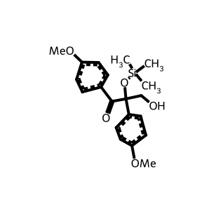 COc1ccc(C(=O)C(CO)(O[Si](C)(C)C)c2ccc(OC)cc2)cc1